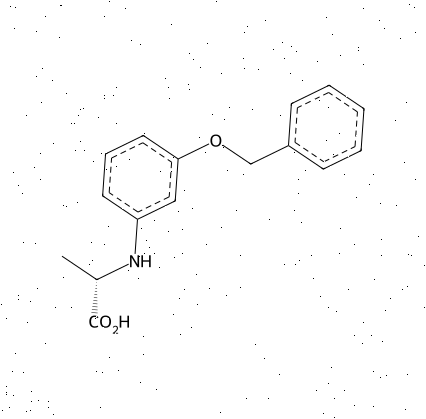 C[C@H](Nc1cccc(OCc2ccccc2)c1)C(=O)O